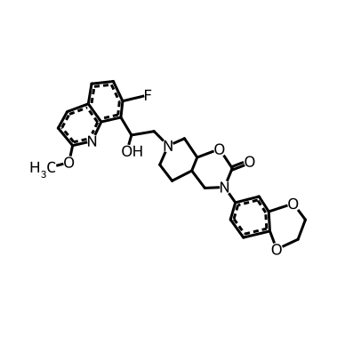 COc1ccc2ccc(F)c(C(O)CN3CCC4CN(c5ccc6c(c5)OCCO6)C(=O)OC4C3)c2n1